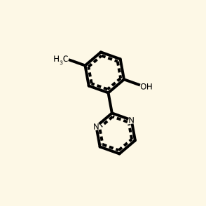 Cc1ccc(O)c(-c2ncccn2)c1